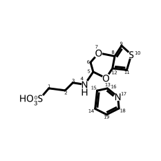 O=S(=O)(O)CCCNC1COc2cscc2O1.c1ccncc1